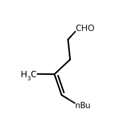 CCCCC=C(C)CCC=O